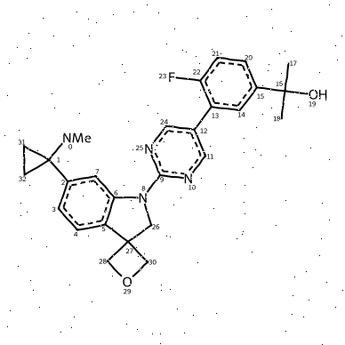 CNC1(c2ccc3c(c2)N(c2ncc(-c4cc(C(C)(C)O)ccc4F)cn2)CC32COC2)CC1